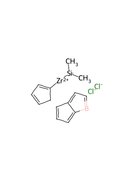 B1=CC=C2C=CC=C12.C[Si](C)[Zr+2][C]1=CC=CC1.[Cl-].[Cl-]